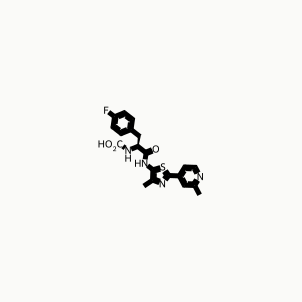 Cc1cc(-c2nc(C)c(NC(=O)[C@H](Cc3ccc(F)cc3)NC(=O)O)s2)ccn1